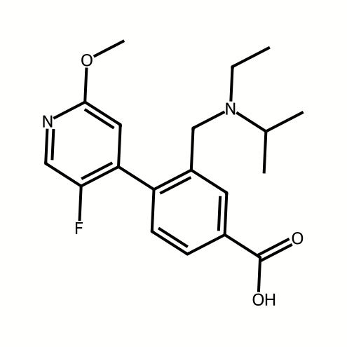 CCN(Cc1cc(C(=O)O)ccc1-c1cc(OC)ncc1F)C(C)C